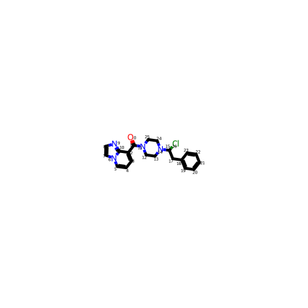 O=C(c1cccn2ccnc12)N1CCN(C(Cl)Cc2ccccc2)CC1